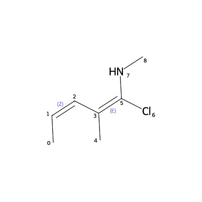 C/C=C\C(C)=C(\Cl)NC